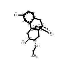 CCN[C@H]1C[C@@]2(O)[C@H]3Cc4ccc(O)cc4C2(CCN3C)C[C@@H]1O